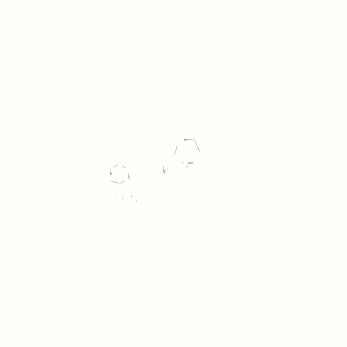 N[C@H]1CC/C=C(/C2=CC=C=C(SC3CCOCC3)C=N2)CCCc2ccccc21